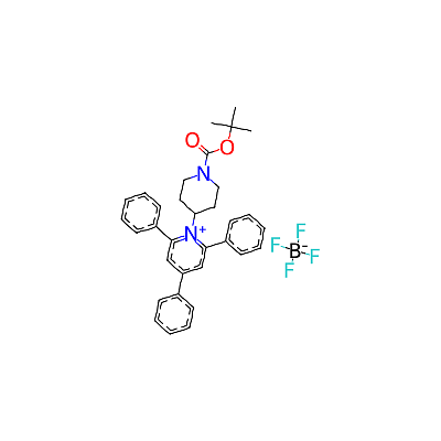 CC(C)(C)OC(=O)N1CCC([n+]2c(-c3ccccc3)cc(-c3ccccc3)cc2-c2ccccc2)CC1.F[B-](F)(F)F